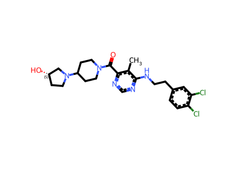 Cc1c(NCCc2ccc(Cl)c(Cl)c2)ncnc1C(=O)N1CCC(N2CC[C@H](O)C2)CC1